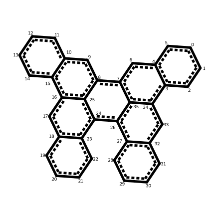 c1ccc2c(c1)cc1c3cc4ccccc4c4cc5ccccc5c(c43)c3c4ccccc4cc2c13